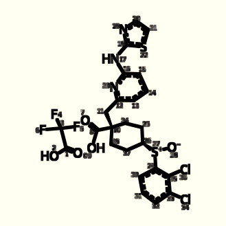 O=C(O)C(F)(F)F.O=C(O)[C@]1(Cc2cccc(Nc3nccs3)n2)CC[C@@H]([S+]([O-])c2cccc(Cl)c2Cl)CC1